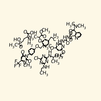 CCNc1nc(Cl)nc(NC(C)C)n1.CCc1ccc(COc2ccc(-n3c(=O)cc(C(F)(F)F)n(C)c3=O)cc2)c(OC(C)C(=O)OC)c1.COc1cc(OC)nc(NC(=O)NS(=O)(=O)c2ncccc2C(=O)N(C)C)n1.CP(=O)(O)CCC(N)C(=O)O